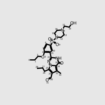 CCCOc1ccc(S(=O)(=O)N2CCN(CCO)CC2)cc1-c1nn2c(CCC)c(C=O)c(C)c2c(=O)[nH]1